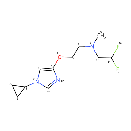 CN(CCOc1cn(C2CC2)cn1)CC(F)F